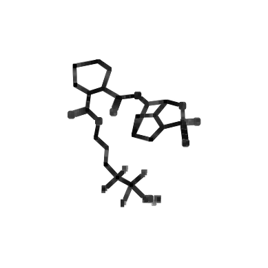 O=C(OCCCC(F)(F)C(F)(F)S(=O)(=O)O)C1CCCCC1C(=O)OC1C2CC3C1OS(=O)(=O)C3C2